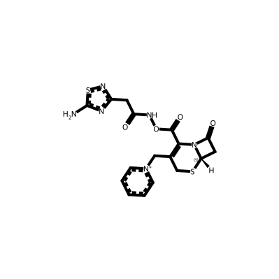 Nc1nc(CC(=O)NOC(=O)C2=C(C[n+]3ccccc3)CS[C@H]3CC(=O)N23)ns1